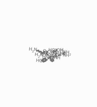 C[C@@H](O)[C@H](NC(=O)[C@H](CCCNC(=N)N)NC(=O)[C@@H]1CCCN1C(=O)[C@H](Cc1ccc(O)cc1)NC(=O)[C@@H](NC(=O)[C@@H](N)CCCCN)[C@@H](C)O)C(=O)O